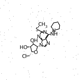 CSc1nc(NN2CCCCC2)c2ncn([C@@H]3O[C@H](CCl)[C@@H](O)[C@H]3O)c2n1